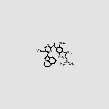 C=Cc1cnc(Nc2cc([N+](=O)[O-])c(N(C)CCN(C)C)cc2OC)nc1-c1cn2c3c(cccc13)CCC2